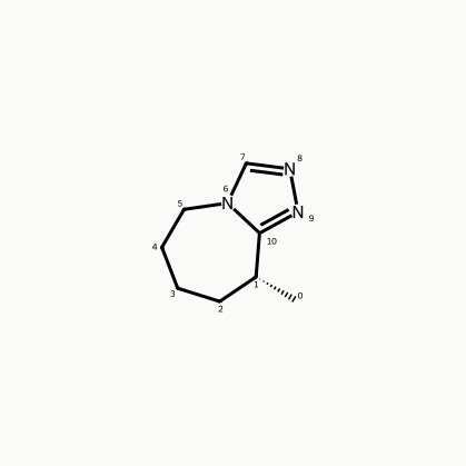 C[C@@H]1CCCCn2cnnc21